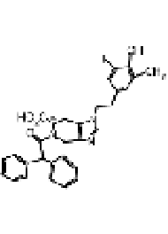 Cc1cc(CCn2cnc3c2C[C@@H](C(=O)O)N(C(=O)C(c2ccccc2)c2ccccc2)C3)cc(I)c1O